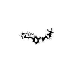 C[C@H](Cc1nncn1C)c1cccc(NC(=O)c2nc(C(F)(F)F)c[nH]2)c1